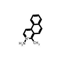 Cc1c2ccc3ccccc3c2cc[n+]1N